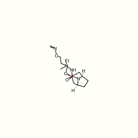 C=NOCCCO[C@H]1C[C@H]2CC[C@@H](C1)N2C(=O)NN(C)CC